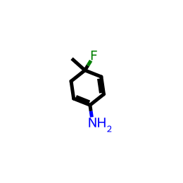 CC1(F)C=CC(N)=CC1